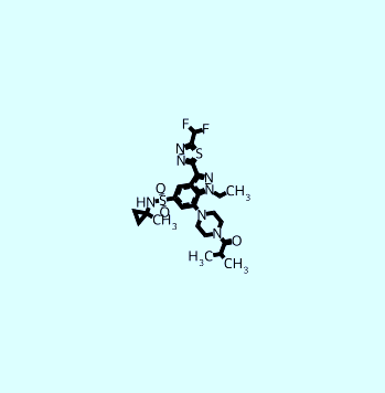 CCn1nc(-c2nnc(C(F)F)s2)c2cc(S(=O)(=O)NC3(C)CC3)cc(N3CCN(C(=O)C(C)C)CC3)c21